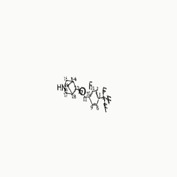 Fc1cc(C(F)(F)F)ccc1COC1C2CNCC1C2